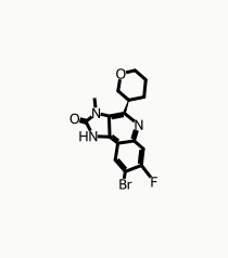 Cn1c(=O)[nH]c2c3cc(Br)c(F)cc3nc([C@@H]3CCCOC3)c21